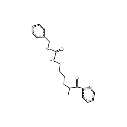 CC(CCCCNC(=O)OCc1ccccc1)C(=O)c1ccccn1